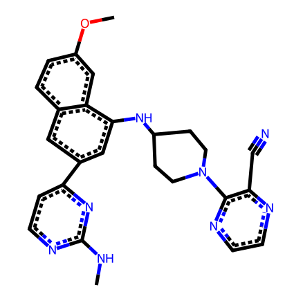 CNc1nccc(-c2cc(NC3CCN(c4nccnc4C#N)CC3)c3cc(OC)ccc3c2)n1